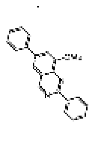 COc1cc(-c2ccccc2)cc2cnc(-c3ccccc3)nc12